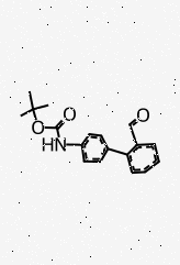 CC(C)(C)OC(=O)Nc1ccc(-c2ccccc2C=O)cc1